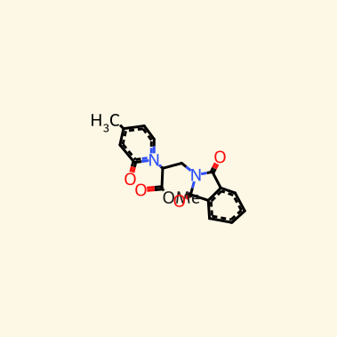 COC(=O)C(CN1C(=O)c2ccccc2C1=O)n1ccc(C)cc1=O